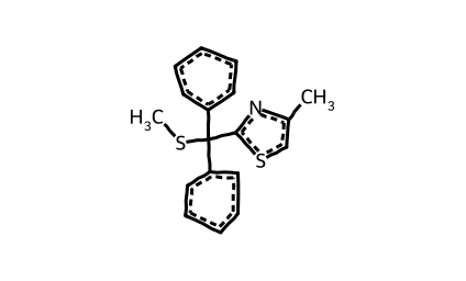 CSC(c1ccccc1)(c1ccccc1)c1nc(C)cs1